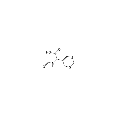 O=CNC(C(=O)O)C1=CSCSC1